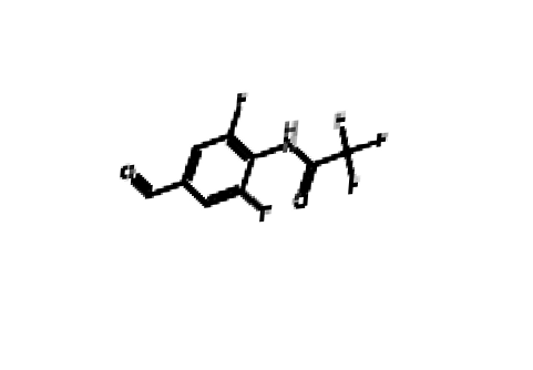 O=Cc1cc(F)c(NC(=O)C(F)(F)F)c(F)c1